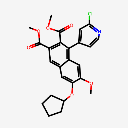 COC(=O)c1cc2cc(OC3CCCC3)c(OC)cc2c(-c2ccnc(Cl)c2)c1C(=O)OC